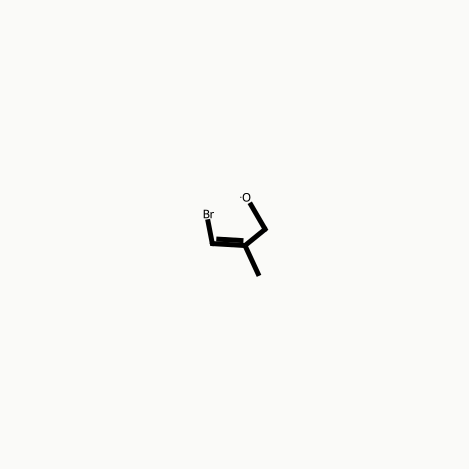 CC(=CBr)C[O]